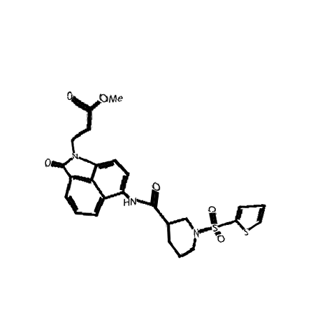 COC(=O)CCN1C(=O)c2cccc3c(NC(=O)C4CCCN(S(=O)(=O)c5cccs5)C4)ccc1c23